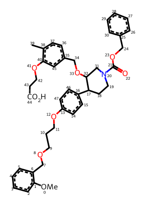 COc1ccccc1COCCCOc1ccc(C2CCN(C(=O)OCc3ccccc3)CC2OCc2ccc(C)c(OCCC(=O)O)c2)cc1